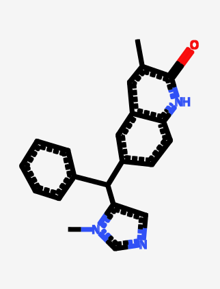 Cc1cc2cc(C(c3ccccc3)c3cncn3C)ccc2[nH]c1=O